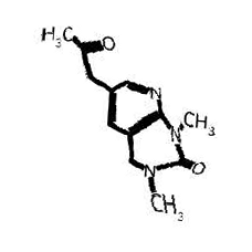 CC(=O)Cc1cnc2c(c1)CN(C)C(=O)N2C